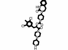 Cc1c(Cl)cc(CC(OC(=O)N2CCC(N3CCc4ccccc4NC3=O)CC2)C(=O)N2CCN(C3CCNCC3)CC2)cc1Cl